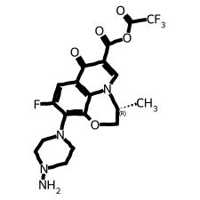 C[C@@H]1COc2c(N3CCN(N)CC3)c(F)cc3c(=O)c(C(=O)OC(=O)C(F)(F)F)cn1c23